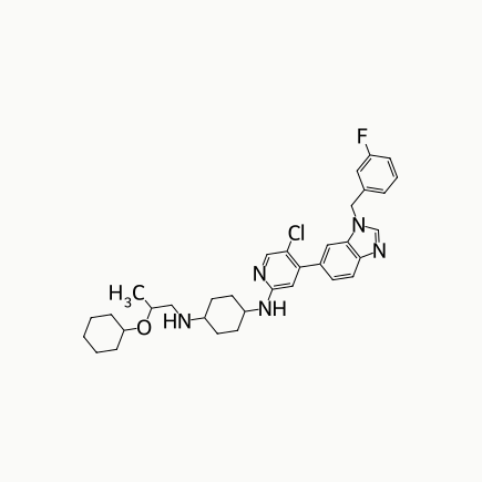 CC(CNC1CCC(Nc2cc(-c3ccc4ncn(Cc5cccc(F)c5)c4c3)c(Cl)cn2)CC1)OC1CCCCC1